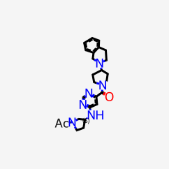 CC(=O)N1CC[C@H](Nc2cc(C(=O)N3CCC(N4CCc5ccccc5C4)CC3)ncn2)C1